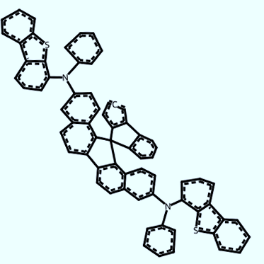 c1ccc(N(c2ccc3c4c(ccc3c2)-c2ccc3cc(N(c5ccccc5)c5cccc6c5sc5ccccc56)ccc3c2C42c3ccccc3-c3ccccc32)c2cccc3c2sc2ccccc23)cc1